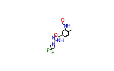 Cc1ccc(C2NC(N3CC(F)(F)C3)=NO2)cc1NC=O